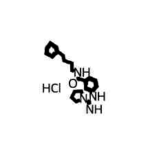 Cl.N=C(Nc1cccc(C(=O)NCCCCc2ccccc2)c1)N1CCCC1